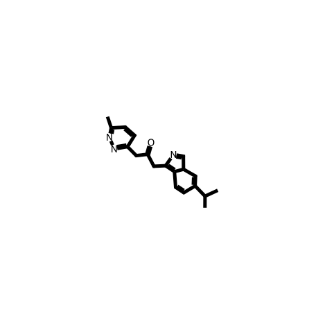 Cc1ccc(CC(=O)CC2=C3C=CC(C(C)C)=CC3C=N2)nn1